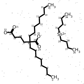 CCCCCCCCC(CCCCCCCC)(CCCC(=O)[O-])C(=O)[O-].CCC[CH2][Sn+2][CH2]CCC